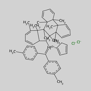 CC1=CC=CC2[CH]([Hf+2]([C]3=CC=CC3)=[C](c3ccc(C)cc3)c3ccc(C)cc3)C3(C)C4(C)C=CC=CC4(C)C4(C)C=CC=CC4(C)C3(C)C12C.[Cl-].[Cl-]